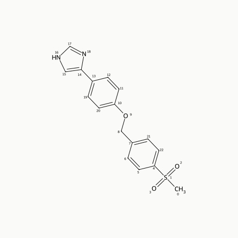 CS(=O)(=O)c1ccc(COc2ccc(-c3c[nH]cn3)cc2)cc1